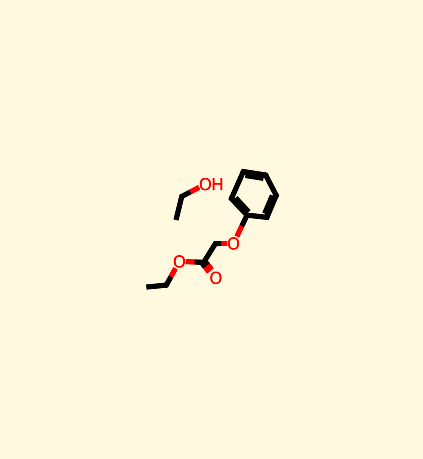 CCO.CCOC(=O)COc1ccccc1